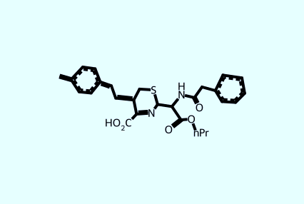 C=c1ccc(=C/C=C2\CSC(C(NC(=O)Cc3ccccc3)C(=O)OCCC)N=C2C(=O)O)cc1